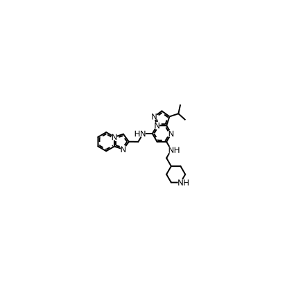 CC(C)c1cnn2c(NCc3cn4ccccc4n3)cc(NCC3CCNCC3)nc12